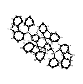 c1ccc(N(c2cc3c(o2)C2(c4ccccc4-c4ccccc42)c2cc(N(c4ccccc4)c4cccc5oc6ccccc6c45)oc2C32c3ccccc3-c3ccccc32)c2cccc3oc4ccccc4c23)cc1